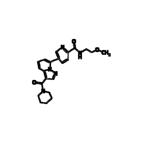 COCCNC(=O)c1ccc(-c2cccc3c(C(=O)N4CCCCC4)cnn23)cn1